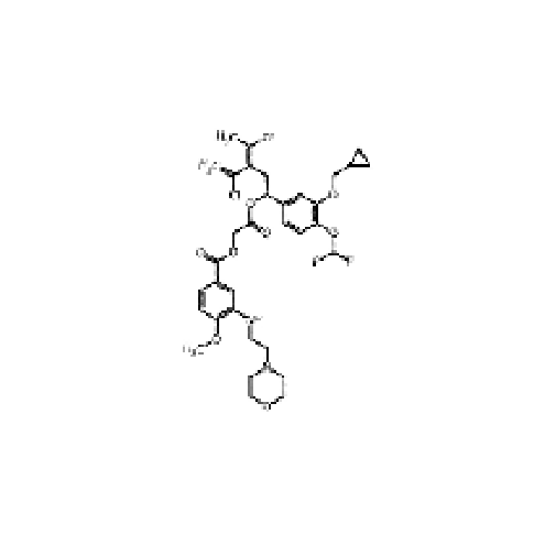 C=C(Cl)/C(C[C@H](OC(=O)COC(=O)c1ccc(OC)c(NCCN2CCOCC2)c1)c1ccc(OC(F)F)c(OCC2CC2)c1)=C(\C)Cl